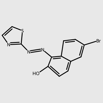 Oc1ccc2cc(Br)ccc2c1/N=N/c1nccs1